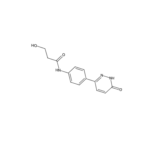 O=C(CCO)Nc1ccc(-c2ccc(=O)[nH]n2)cc1